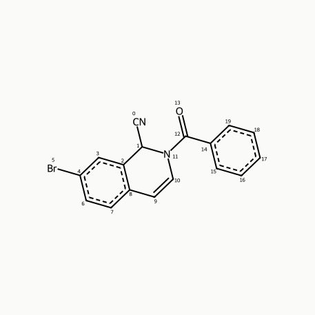 N#CC1c2cc(Br)ccc2C=CN1C(=O)c1ccccc1